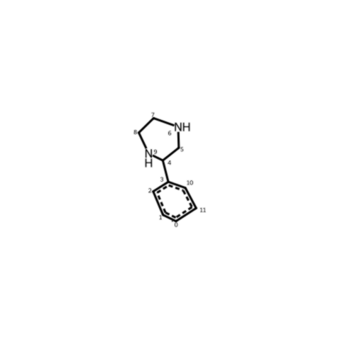 [c]1ccc(C2CNCCN2)cc1